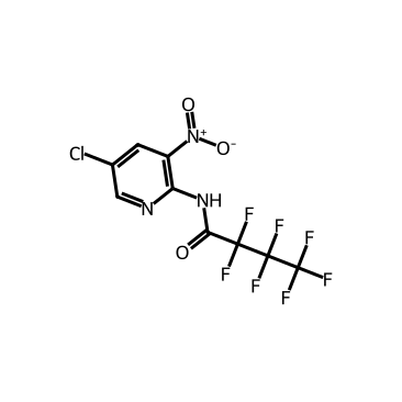 O=C(Nc1ncc(Cl)cc1[N+](=O)[O-])C(F)(F)C(F)(F)C(F)(F)F